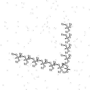 CCO[Si](C)(C)OCC.CCO[Si](C)(OCC)OCC.CCO[Si](C)(OCC)OCC.CCO[Si](C)(OCC)OCC.CCO[Si](C)(OCC)OCC.CCO[Si](C)(OCC)OCC.CCO[Si](C)(OCC)OCC.CCO[Si](C)(OCC)OCC.CCO[Si](C)(OCC)OCC.CCO[Si](C)(OCC)OCC.CCO[Si](C)(OCC)OCC